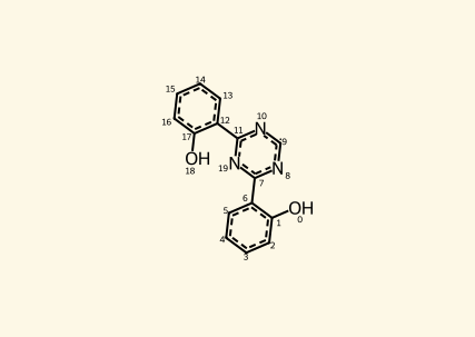 Oc1ccccc1-c1n[c]nc(-c2ccccc2O)n1